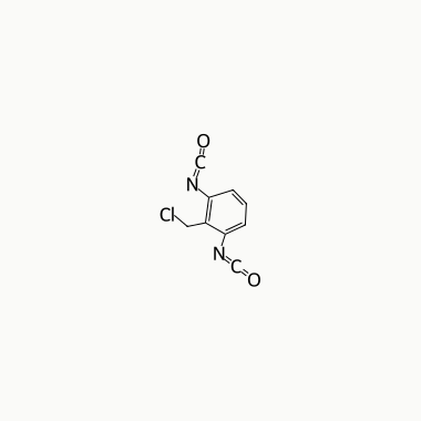 O=C=Nc1cccc(N=C=O)c1CCl